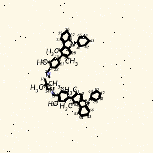 Cc1cc2c(c(C)c1-c1ccc(/C=N/CC(C)(C)C/N=C/c3ccc(-c4c(C)cc5c(c4C)c4ccccc4n5-c4ccccc4)cc3O)c(O)c1)c1ccccc1n2-c1ccccc1